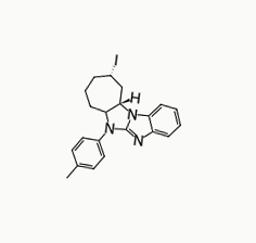 Cc1ccc(N2c3nc4ccccc4n3[C@H]3C[C@@H](I)CCCC32)cc1